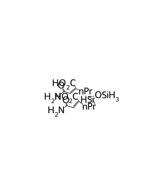 CCC/C(=C/C(N)=O)C(=O)O.CCC/C(=C/C(N)=O)C(=O)O.C[SiH](C)O[SiH3]